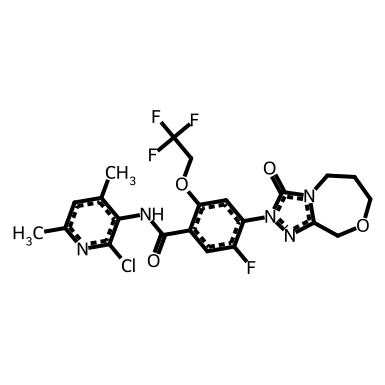 Cc1cc(C)c(NC(=O)c2cc(F)c(-n3nc4n(c3=O)CCCOC4)cc2OCC(F)(F)F)c(Cl)n1